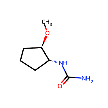 CO[C@@H]1CCC[C@H]1NC(N)=O